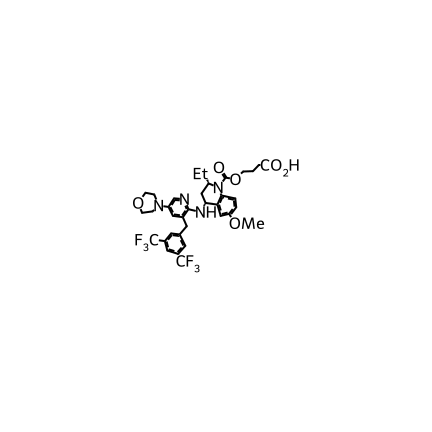 CC[C@@H]1C[C@H](Nc2ncc(N3CCOCC3)cc2Cc2cc(C(F)(F)F)cc(C(F)(F)F)c2)c2cc(OC)ccc2N1C(=O)OCCCC(=O)O